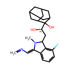 C=N/C=C1/c2cccc(F)c2C(C[C@@H](O)C2(O)C3CC4CC(C3)CC2C4)N1C